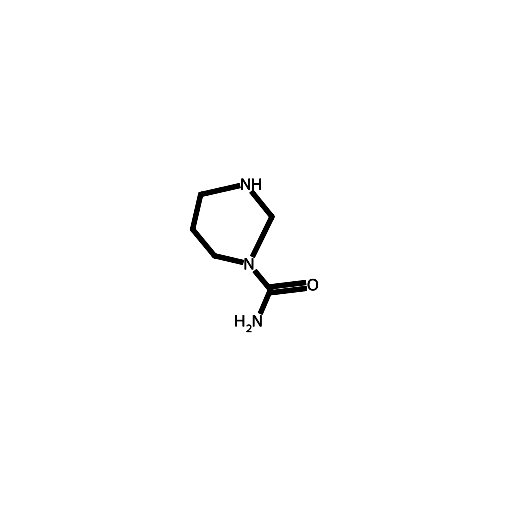 NC(=O)N1CCCNC1